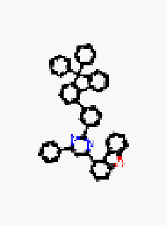 c1ccc(-c2cc(-c3cccc4oc5ccccc5c34)nc(-c3cccc(-c4cccc5c4-c4ccccc4C5(c4ccccc4)c4ccccc4)c3)n2)cc1